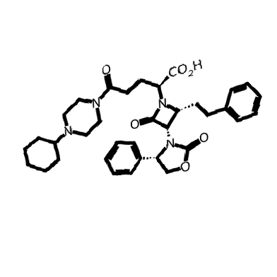 O=C(O)[C@H](CCC(=O)N1CCN(C2CCCCC2)CC1)N1C(=O)[C@@H](N2C(=O)OC[C@@H]2c2ccccc2)[C@H]1CCc1ccccc1